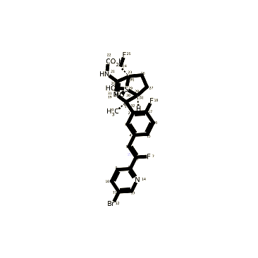 C[C@]1(c2cc(/C=C(\F)c3ccc(Br)cn3)ccc2F)N=C(NC(=O)O)[C@@]2(CF)CC[C@@H]1S2(O)O